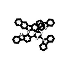 c1ccc2cc3c(cc2c1)c1cc2ccccc2cc1n3-c1c(-c2nc(-c3cccc4c3sc3ccccc34)nc(-n3c4ccccc4c4ccccc43)n2)ccc2c1oc1ccccc12